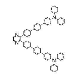 c1ccc(N(c2ccccc2)c2ccc(-c3ccc(-c4ccc(-c5nccnc5-c5ccc(-c6ccc(-c7ccc(N(c8ccccc8)c8ccccc8)cc7)cc6)cc5)cc4)cc3)cc2)cc1